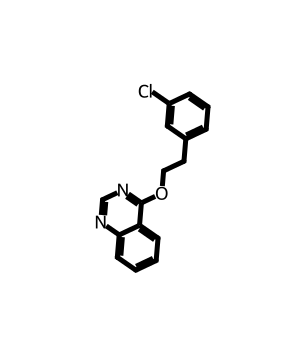 Clc1cccc(CCOc2ncnc3ccccc23)c1